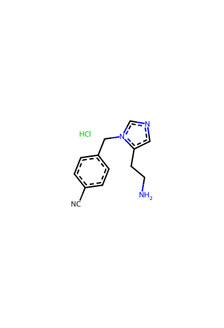 Cl.N#Cc1ccc(Cn2cncc2CCN)cc1